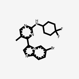 Cc1cnc(NC2CCC(F)(F)CC2)nc1-c1cnc2ccc(Br)cn12